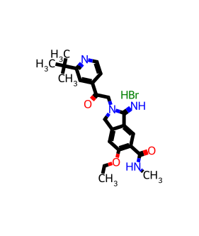 Br.CCOc1cc2c(cc1C(=O)NC)C(=N)N(CC(=O)c1ccnc(C(C)(C)C)c1)C2